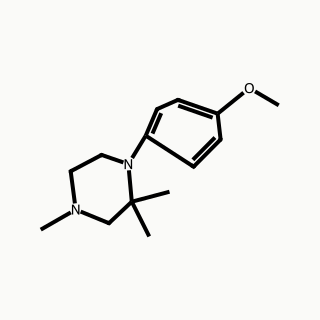 COc1ccc(N2CCN(C)CC2(C)C)cc1